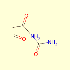 C=O.CC(C)=O.NC(N)=O